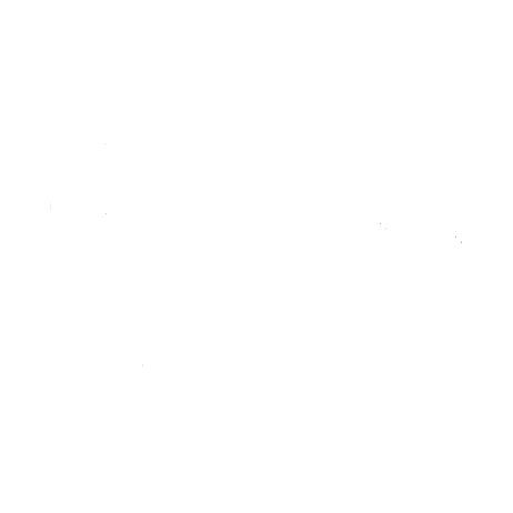 CCC1C(=O)C(C)(C)C(O)CC(=O)OC(C(F)=Cc2csc(CN)n2)C/C=C(\C)CCCC(C)C1O